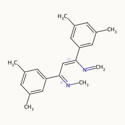 C=N/C(=C\C(=N/C)c1cc(C)cc(C)c1)c1cc(C)cc(C)c1